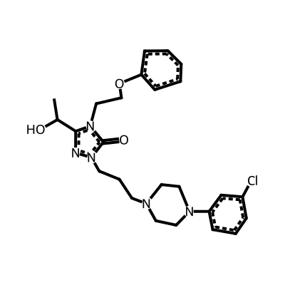 CC(O)c1nn(CCCN2CCN(c3cccc(Cl)c3)CC2)c(=O)n1CCOc1ccccc1